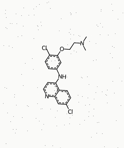 CN(C)CCOc1cc(Nc2ccnc3cc(Cl)ccc23)ccc1Cl